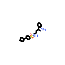 O=S(=O)(NCCCC1CNc2ccccc21)c1ccc(-c2ccccc2)cc1